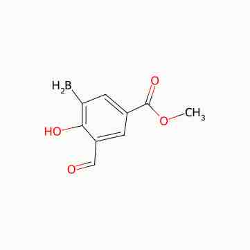 Bc1cc(C(=O)OC)cc(C=O)c1O